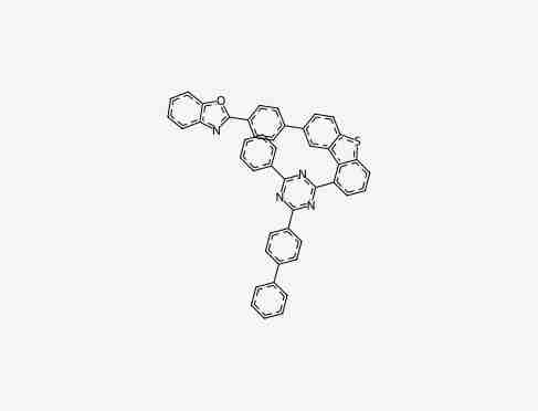 c1ccc(-c2ccc(-c3nc(-c4ccccc4)nc(-c4cccc5sc6ccc(-c7ccc(-c8nc9ccccc9o8)cc7)cc6c45)n3)cc2)cc1